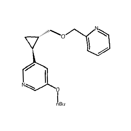 CCCCOc1cncc([C@H]2C[C@@H]2COCc2ccccn2)c1